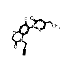 C#CCN1C(=O)COc2cc(F)c(-n3ncc(CC(F)(F)F)cc3=O)cc21